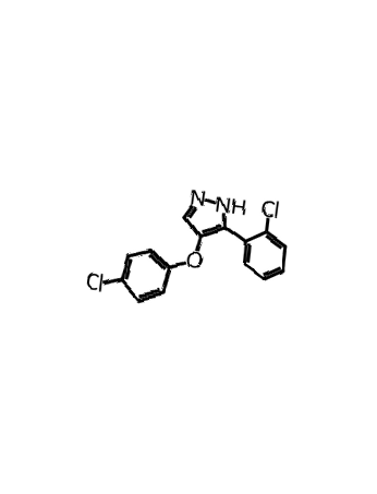 Clc1ccc(Oc2cn[nH]c2-c2ccccc2Cl)cc1